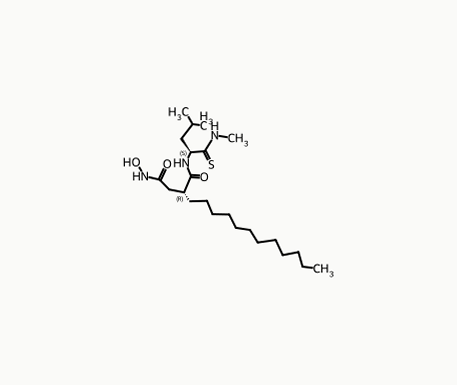 CCCCCCCCCCCC[C@H](CC(=O)NO)C(=O)N[C@@H](CC(C)C)C(=S)NC